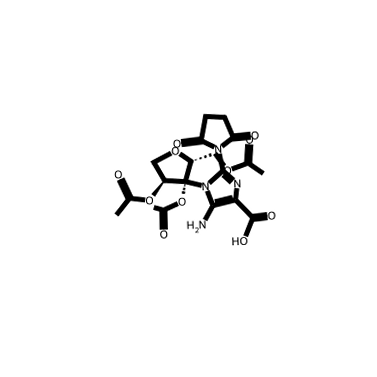 CC(=O)OC[C@H]1OC[C@H](OC(C)=O)[C@]1(OC(C)=O)n1c(N2C(=O)CCC2=O)nc(C(=O)O)c1N